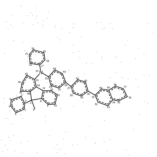 CC1(c2ccccc2)c2ccccc2-c2c(N(c3ccccc3)c3ccc(-c4ccc(-c5ccc6ccccc6c5)cc4)cc3)cccc21